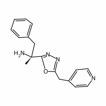 C[C@@](N)(Cc1ccccc1)c1nnc(Cc2ccncc2)o1